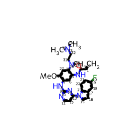 C=CC(=O)Nc1cc(Nc2nccc(-n3ccc4cc(F)ccc43)n2)c(OC)cc1N(C)CCN(C)C